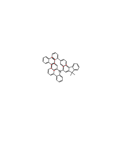 CC1(C)c2ccccc2-c2ccc(N(c3cccc(-c4ccccc4-c4ccccc4)c3)c3ccccc3C3=CC=CC(c4cccc5ccccc45)C3)cc21